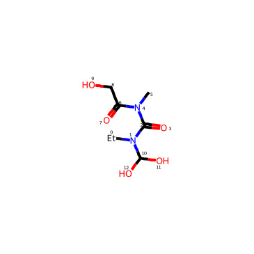 CCN(C(=O)N(C)C(=O)CO)C(O)O